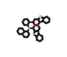 c1ccc(N(c2cccc3ccccc23)c2cccc3c2sc2ccccc23)c(-c2ccc3c(c2)oc2ccccc23)c1